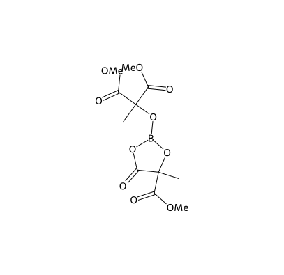 COC(=O)C(C)(OB1OC(=O)C(C)(C(=O)OC)O1)C(=O)OC